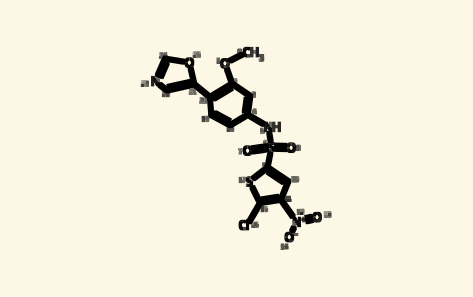 COc1cc(NS(=O)(=O)c2cc([N+](=O)[O-])c(Cl)s2)ccc1-c1cnco1